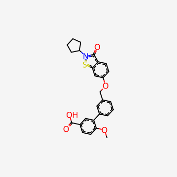 COc1ccc(C(=O)O)cc1-c1cccc(COc2ccc3c(=O)n(C4CCCC4)sc3c2)c1